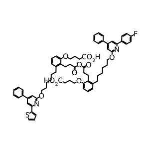 O=C(O)CCCOc1cccc(CCCCCCOc2cc(-c3ccccc3)cc(-c3ccc(F)cc3)n2)c1CCC(=O)OC(=O)CCc1c(CCCCCCOc2cc(-c3ccccc3)cc(-c3cccs3)n2)cccc1OCCCC(=O)O